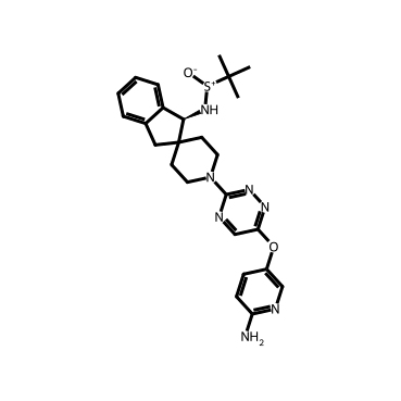 CC(C)(C)[S+]([O-])N[C@@H]1c2ccccc2CC12CCN(c1ncc(Oc3ccc(N)nc3)nn1)CC2